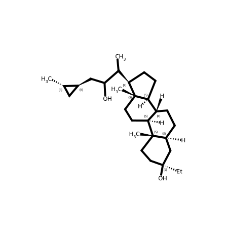 CC[C@]1(O)CC[C@@]2(C)[C@@H](CC[C@@H]3[C@@H]2CC[C@]2(C)[C@@H](C(C)C(O)C[C@H]4C[C@@H]4C)CC[C@@H]32)C1